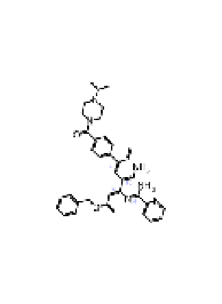 C=C\C(=C/C(=C\N)C(=C/C(=C)OCc1ccccc1)/N=C(\N)c1ccccn1)c1ccc(C(=O)N2CCN(C(C)C)CC2)cc1